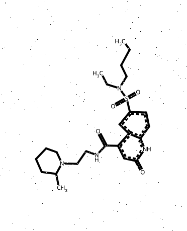 CCCCN(CC)S(=O)(=O)c1ccc2[nH]c(=O)cc(C(=O)NCCN3CCCCC3C)c2c1